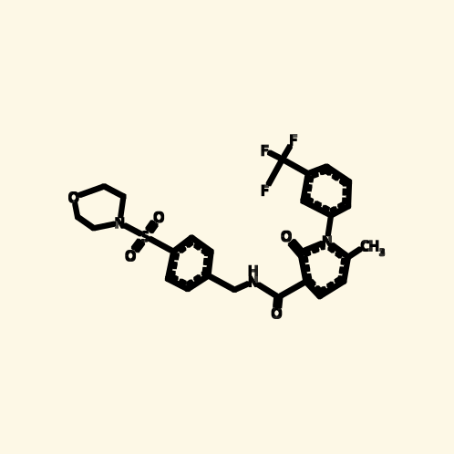 Cc1ccc(C(=O)NCc2ccc(S(=O)(=O)N3CCOCC3)cc2)c(=O)n1-c1cccc(C(F)(F)F)c1